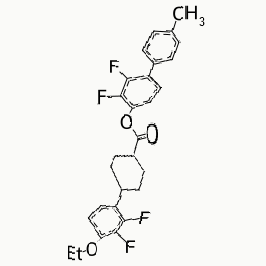 CCOc1ccc(C2CCC(C(=O)Oc3ccc(-c4ccc(C)cc4)c(F)c3F)CC2)c(F)c1F